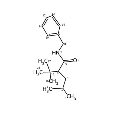 CC(C)CC(C(=O)NCc1ccccc1)C(C)(C)C